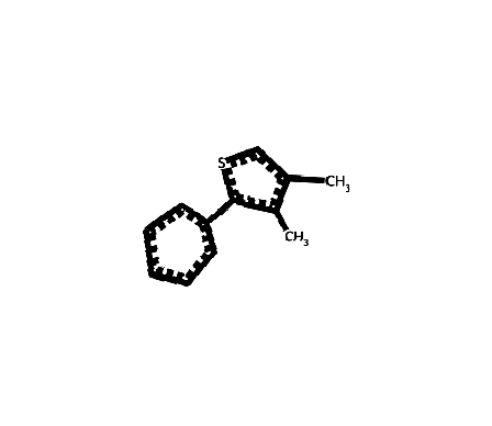 Cc1csc(-c2ccccc2)c1C